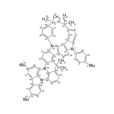 CC(C)(C)c1ccc(-n2c3ccc4cc3c3c2ccc2c5c6c(ccc5n(c23)-c2ccc(cc2)C(C)(C)CC4(C)C)B2c3c(cccc3C6(C)C)-n3c4ccc(C(C)(C)C)cc4c4cc(C(C)(C)C)cc2c43)cc1